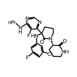 CCCNc1ncnc(C2(Nc3cc(F)cc(Cl)c3)CCCN([C@@H]3CCCNC3=O)C2=O)c1F